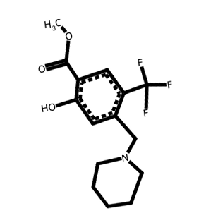 COC(=O)c1cc(C(F)(F)F)c(CN2CCCCC2)cc1O